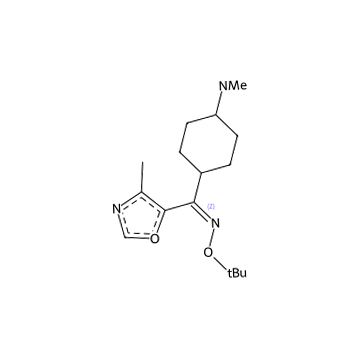 CNC1CCC(/C(=N/OC(C)(C)C)c2ocnc2C)CC1